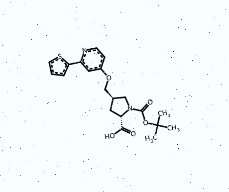 CC(C)(C)OC(=O)N1C[C@H](COc2ccnc(-c3cccs3)c2)C[C@H]1C(=O)O